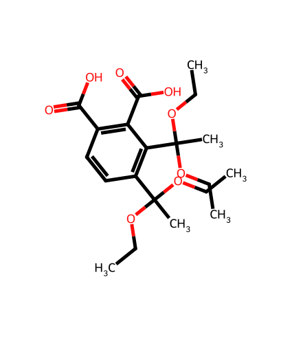 CCOC(C)(OCC)c1ccc(C(=O)O)c(C(=O)O)c1C(C)(OCC)OCC